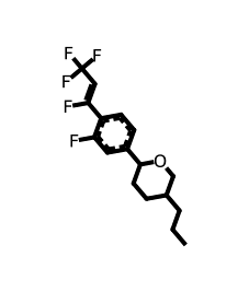 CCCC1CCC(c2ccc(/C(F)=C/C(F)(F)F)c(F)c2)OC1